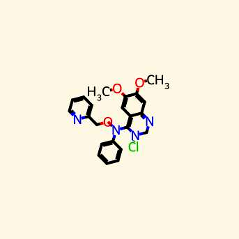 COc1cc2c(cc1OC)=C(N(OCc1ccccn1)c1ccccc1)N(Cl)CN=2